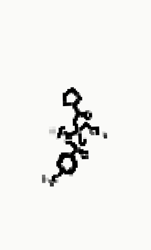 CCS(CC)(CC(=O)C1CCCC1)OS(=O)(=O)c1ccc(C)cc1